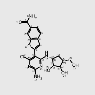 NC(=O)c1ccc2cc(-c3c(Cl)nc(N)nc3N[C@@H]3C[C@H](CO)[C@@H](O)[C@H]3O)oc2c1